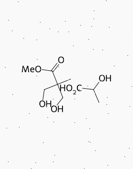 CC(O)C(=O)O.COC(=O)C(C)(CO)CO